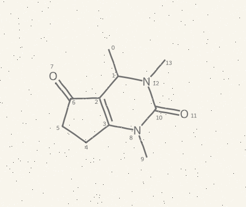 CC1C2=C(CCC2=O)N(C)C(=O)N1C